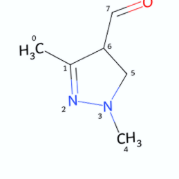 CC1=NN(C)CC1C=O